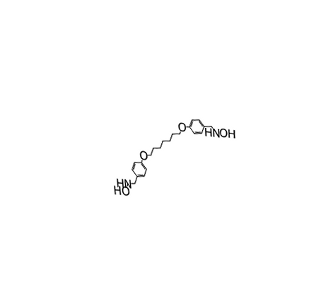 ONCc1ccc(OCCCCCCCOc2ccc(CNO)cc2)cc1